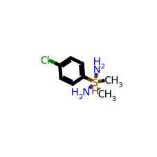 C[SH](C)(N)(N)c1ccc(Cl)cc1